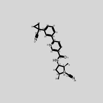 C[C@@H]1[C@H](NC(=O)c2ccc(-c3cccc(C4(C#N)CC4)c3)nc2)C[C@H](C)N1C#N